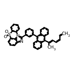 C=C/C=C\C=C(/C)c1c2ccccc2c(-c2cccc(-c3nc4cccc5c4n3-c3ccccc3S5(=O)=O)c2)c2ccccc12